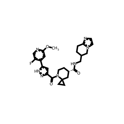 COc1cc(-c2cc(C(=O)N3CC[C@H](C(=O)NCC4CCc5nccn5C4)CC34CC4)n[nH]2)c(F)cn1